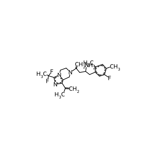 C=C(C)c1nc(C(C)(F)F)n2c1CN(C(=C)CC(N)Cc1cc(F)c(C)cc1C)CC2